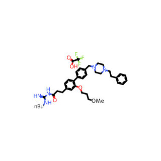 CCCCNC(=N)NC(=O)CCc1ccc(-c2ccc(CN3CCN(CCc4ccccc4)CC3)cc2)c(OCCCOC)c1.O=C(O)C(F)(F)F